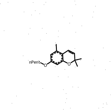 CCCCCOc1cc(C)c2c(c1)OC(C)(C)C=C2